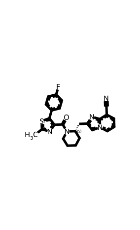 Cc1nc(C(=O)N2CCCC[C@H]2Cc2cn3cccc(C#N)c3n2)c(-c2ccc(F)cc2)s1